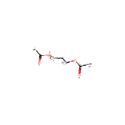 CC(C)C(=O)O[SiH2]C[SiH2]OC(=O)C(C)C